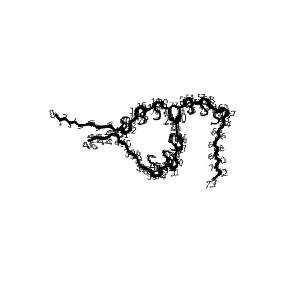 CCCCCCCCCCc1ccc(-c2ccc(-c3ccc(-c4cc(-c5ccc(-c6ccc(-c7ccc(CCCCCCCCCC)s7)s6)s5)cc(-c5ccc(-c6ccc(-c7ccc(CCCCCCCCCC)s7)s6)s5)c4)s3)s2)s1